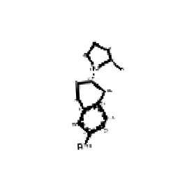 C[C@@H]1CCCN1[C@H]1CCc2cc(Br)ccc2C1